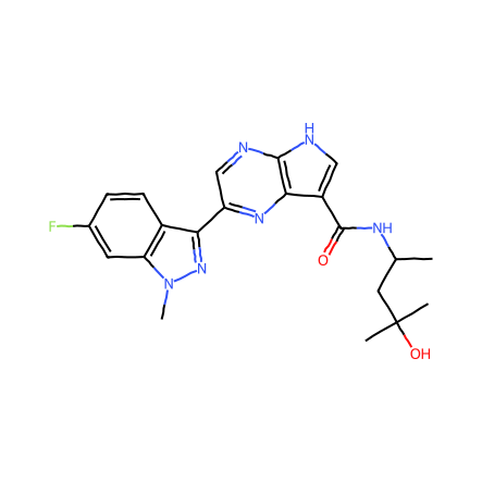 CC(CC(C)(C)O)NC(=O)c1c[nH]c2ncc(-c3nn(C)c4cc(F)ccc34)nc12